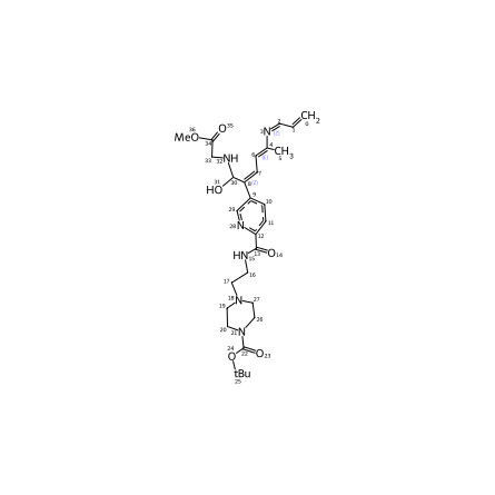 C=C\C=N/C(C)=C/C=C(/c1ccc(C(=O)NCCN2CCN(C(=O)OC(C)(C)C)CC2)nc1)C(O)NCC(=O)OC